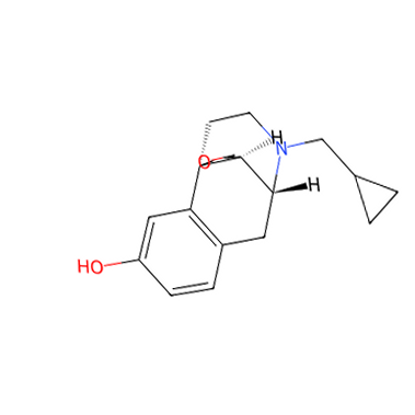 Oc1ccc2c(c1)[C@]13CCN(CC4CC4)[C@H](C2)[C@@H]1CCOC3